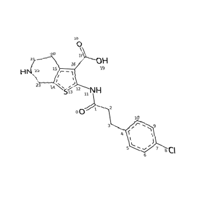 O=C(CCc1ccc(Cl)cc1)Nc1sc2c(c1C(=O)O)CCNC2